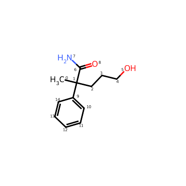 CC(CCCO)(C(N)=O)c1ccccc1